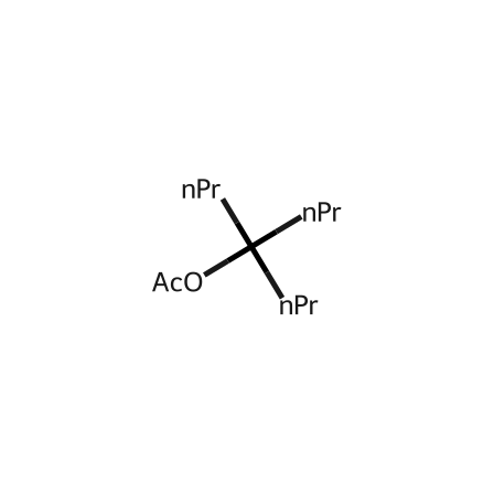 CCCC(CCC)(CCC)OC(C)=O